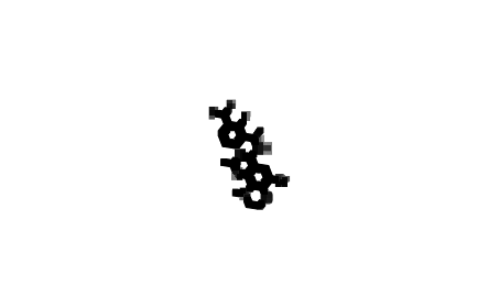 Cc1nc(N[C@H](C)c2cccc(C(F)F)c2F)c2cc(Br)c3c(c2n1)N(C)CCO3